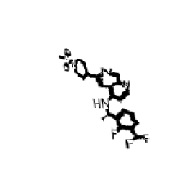 C[C@@H](Nc1ccnc2cnc(C3=CCN(S(C)(=O)=O)CC3)cc12)c1cccc(C(F)F)c1F